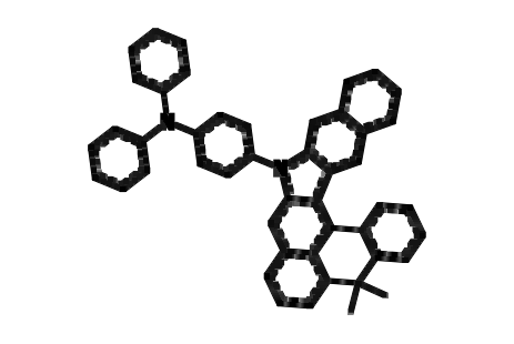 CC1(C)c2ccccc2-c2c3c1cccc3cc1c2c2cc3ccccc3cc2n1-c1ccc(N(c2ccccc2)c2ccccc2)cc1